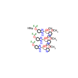 COc1ccnc(C[S+]([O-])c2nc3cc(OC(F)F)ccc3[nH]2)c1OC.COc1ccnc(C[S+]([O-])c2nc3cc(OC(F)F)ccc3[nH]2)c1OC.COc1ccnc(C[S+]([O-])c2nc3cc(OC(F)F)ccc3[nH]2)c1OC.[NaH]